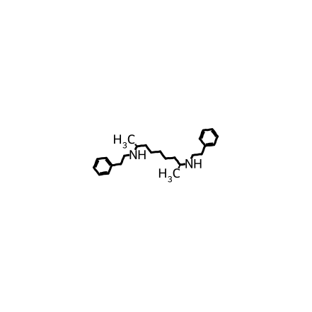 C[C@@H](CCCCC[C@H](C)NCCc1ccccc1)NCCc1ccccc1